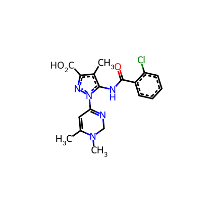 CC1=CC(n2nc(C(=O)O)c(C)c2NC(=O)c2ccccc2Cl)=NCN1C